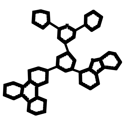 c1ccc(-c2cc(-c3cc(-c4ccc5c6ccccc6c6ccccc6c5c4)cc(-c4cccc5c4sc4ccccc45)c3)cc(-c3ccccc3)n2)cc1